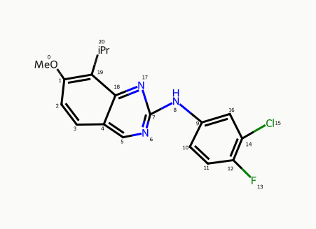 COc1ccc2cnc(Nc3ccc(F)c(Cl)c3)nc2c1C(C)C